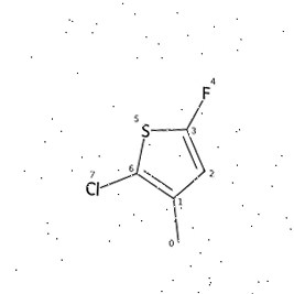 Cc1cc(F)sc1Cl